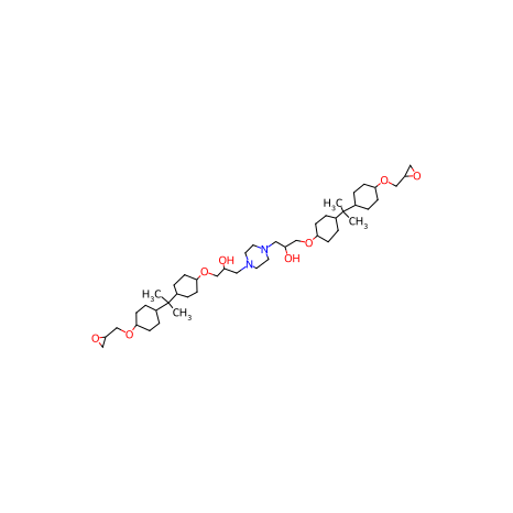 CC(C)(C1CCC(OCC(O)CN2CCN(CC(O)COC3CCC(C(C)(C)C4CCC(OCC5CO5)CC4)CC3)CC2)CC1)C1CCC(OCC2CO2)CC1